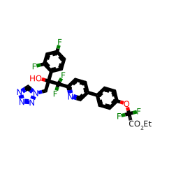 CCOC(=O)C(F)(F)Oc1ccc(-c2ccc(C(F)(F)C(O)(Cn3cnnn3)c3ccc(F)cc3F)nc2)cc1